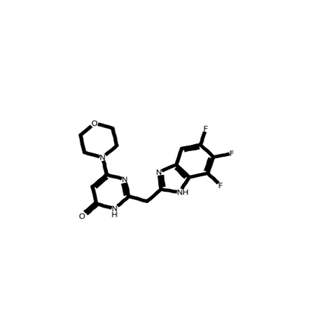 O=c1cc(N2CCOCC2)nc(Cc2nc3cc(F)c(F)c(F)c3[nH]2)[nH]1